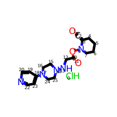 Cl.O=C=C1CCCCN1OC(=O)CNN1CCN(c2ccncc2)CC1